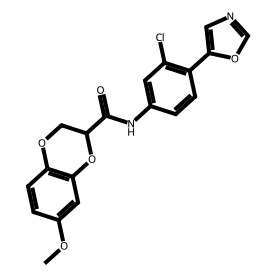 COc1ccc2c(c1)OC(C(=O)Nc1ccc(-c3cnco3)c(Cl)c1)CO2